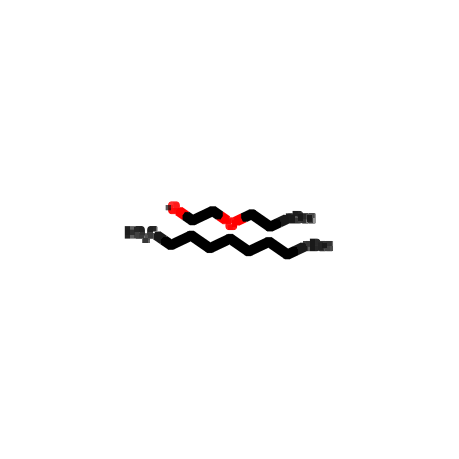 CCCCCCCCCCCCCCCCCC(=O)O.CCCCCCCCCCCCOCC[O]